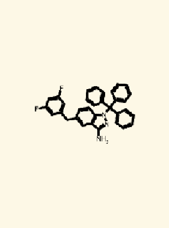 Nc1nn(C(c2ccccc2)(c2ccccc2)c2ccccc2)c2ccc(Cc3cc(F)cc(F)c3)cc12